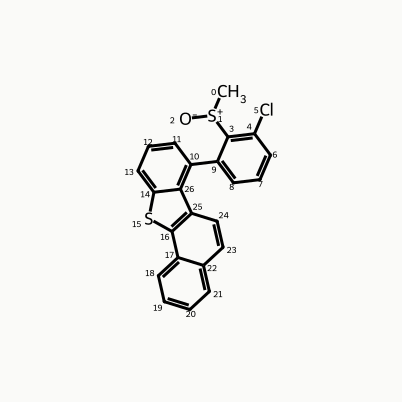 C[S+]([O-])c1c(Cl)cccc1-c1cccc2sc3c4ccccc4ccc3c12